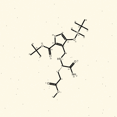 COC(=O)CC[C@H](NCc1c(O[Si](C)(C)C(C)(C)C)csc1C(=O)OC(C)(C)C)C(N)=O